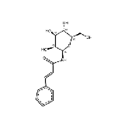 O=C(C=Cc1ccccc1)N[C@@H]1O[C@H](CO)[C@@H](O)[C@H](O)[C@@H]1O